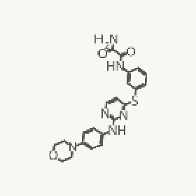 NC(=O)C(=O)Nc1cccc(Sc2ccnc(Nc3ccc(N4CCOCC4)cc3)n2)c1